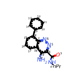 CCCNC(=O)c1nnc2c(-c3ccccc3)cccc2c1N